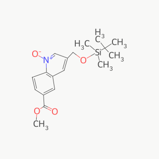 COC(=O)c1ccc2c(cc(CO[Si](C)(C)C(C)(C)C)c[n+]2[O-])c1